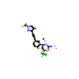 C[C@@]1(c2cc(C#Cc3nn(C(F)F)cc3Cl)ccc2F)C[C@@H](C(F)(F)F)OC(N)=N1